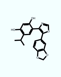 CC(C)c1cc(-c2ncoc2-c2ccc3c(c2)OCO3)c(O)cc1O